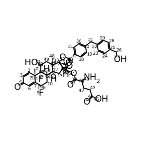 C[C@]12C=CC(=O)C=C1[C@@H](F)C[C@H]1[C@@H]3C[C@H]4O[C@@H](c5ccc(Cc6ccc(CO)cc6)cc5)O[C@@]4(C(=O)COC(=O)[C@@H](N)CCC(=O)O)[C@@]3(C)C[C@H](O)[C@@]12F